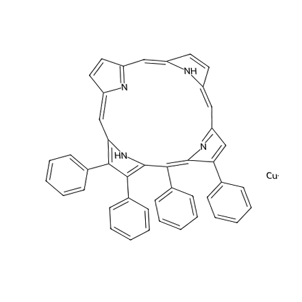 C1=Cc2cc3[nH]c(c(-c4ccccc4)c4nc(cc5ccc(cc1n2)[nH]5)C=C4c1ccccc1)c(-c1ccccc1)c3-c1ccccc1.[Cu]